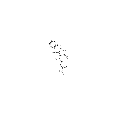 CC(CCC(=O)NO)N1C(=O)CC(=Cc2ccccc2)C1=O